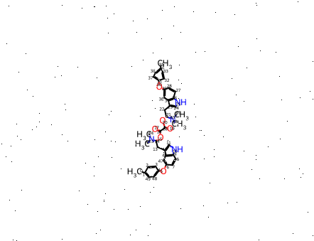 Cc1ccc(Oc2ccc3[nH]cc(CC(OC(=O)C(=O)OC(Cc4c[nH]c5ccc(Oc6ccc(C)cc6)cc45)N(C)C)N(C)C)c3c2)cc1